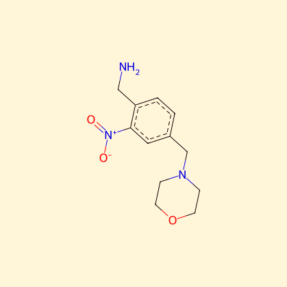 NCc1ccc(CN2CCOCC2)cc1[N+](=O)[O-]